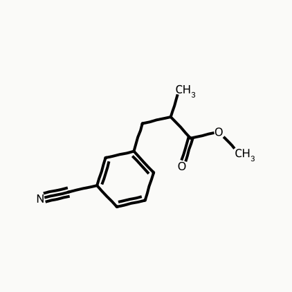 COC(=O)C(C)Cc1cccc(C#N)c1